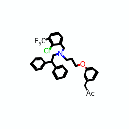 CC(=O)Cc1cccc(OCCCN(Cc2cccc(C(F)(F)F)c2Cl)CC(c2ccccc2)c2ccccc2)c1